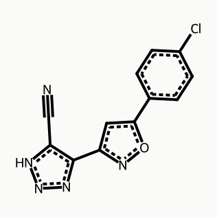 N#Cc1[nH]nnc1-c1cc(-c2ccc(Cl)cc2)on1